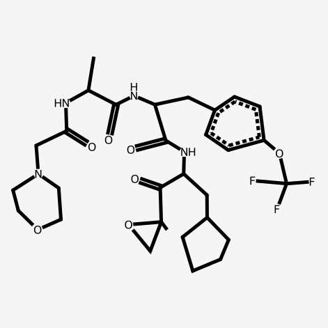 CC(NC(=O)CN1CCOCC1)C(=O)NC(Cc1ccc(OC(F)(F)F)cc1)C(=O)NC(CC1CCCC1)C(=O)C1(C)CO1